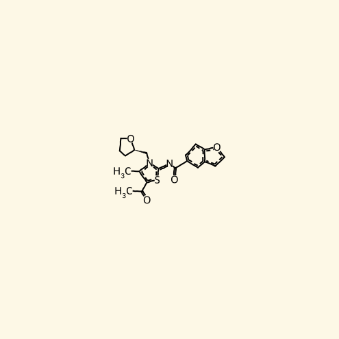 CC(=O)c1sc(=NC(=O)c2ccc3occc3c2)n(C[C@H]2CCCO2)c1C